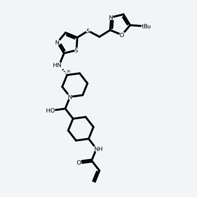 C=CC(=O)NC1CCC(C(O)N2CCC[C@@H](Nc3ncc(SCc4ncc(C(C)(C)C)o4)s3)C2)CC1